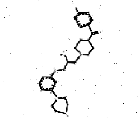 O=C(c1ccc(F)cc1)C1CCN(CC(O)COc2cccc(N3CCOCC3)c2)CC1